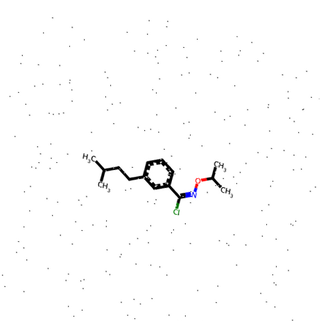 CC(C)CCc1cccc(/C(Cl)=N\OC(C)C)c1